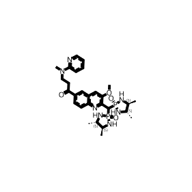 COc1cc2cc(C(=O)CCN(C)c3ccccn3)ccc2nc1C(P1(=O)N[C@@H](C)[C@H](C)N1)P1(=O)N[C@@H](C)[C@H](C)N1